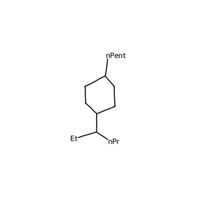 CCCCCC1CCC(C(CC)CCC)CC1